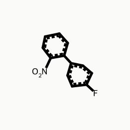 O=[N+]([O-])c1ccccc1-c1ccc(F)cc1